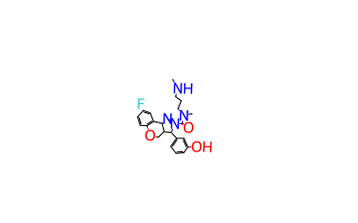 CNCCCN(C)C(=O)N1N=C2c3cc(F)ccc3OCC2C1c1cccc(O)c1